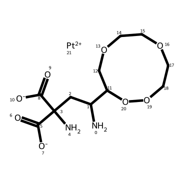 NC(CC(N)(C(=O)[O-])C(=O)[O-])C1COCCOCCOO1.[Pt+2]